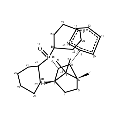 CC1(C)[C@@H]2CC[C@@]1(C)[C@@H](c1ccccn1)[C@H]2P(=O)(C1CCCCC1)C1CCCCC1